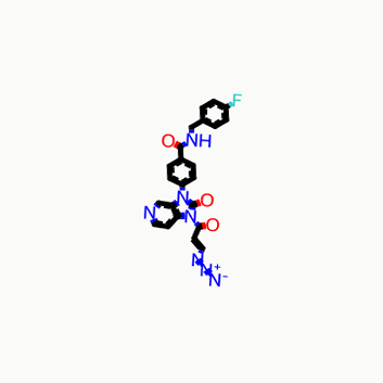 [N-]=[N+]=NC=CC(=O)n1c(=O)n(-c2ccc(C(=O)NCc3ccc(F)cc3)cc2)c2cnccc21